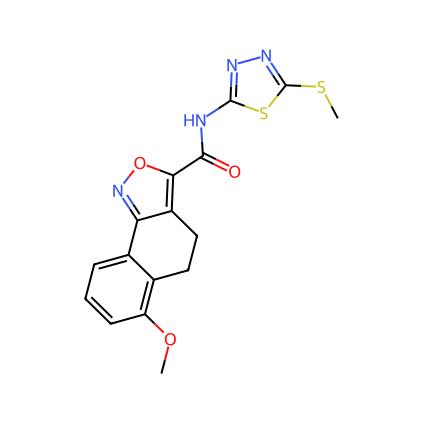 COc1cccc2c1CCc1c-2noc1C(=O)Nc1nnc(SC)s1